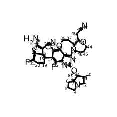 C[C@H]1CN2CCC[C@@]2(COc2nc3c4c(c(Cl)c(-c5ccc(F)c6sc(N)c(C#N)c56)c(F)c4n2)OCCC2C(CC#N)OCCCN32)C1